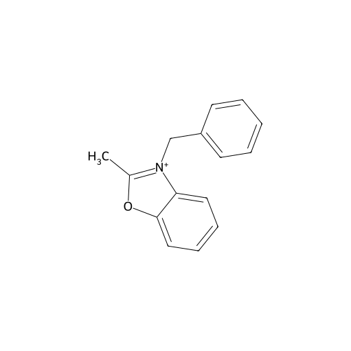 Cc1oc2ccccc2[n+]1Cc1ccccc1